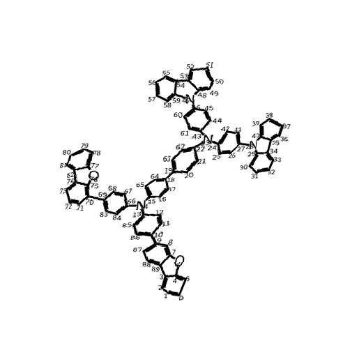 c1ccc2c(c1)oc1cc(-c3ccc(N(c4ccc(-c5ccc(N(c6ccc(-n7c8ccccc8c8ccccc87)cc6)c6ccc(-n7c8ccccc8c8ccccc87)cc6)cc5)cc4)c4ccc(-c5cccc6c5oc5ccccc56)cc4)cc3)ccc12